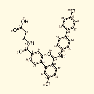 O=C(O)CCNC(=O)c1ccc(-c2cc(Cl)ccc2C(=O)Nc2ccc(-c3ccc(Cl)cc3)cc2)cn1